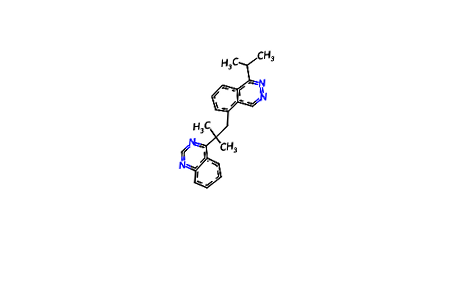 CC(C)c1nncc2c(CC(C)(C)c3ncnc4ccccc34)cccc12